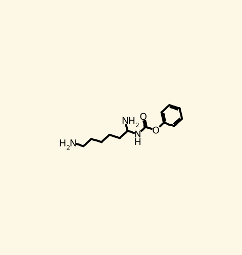 NCCCCCC(N)NC(=O)Oc1ccccc1